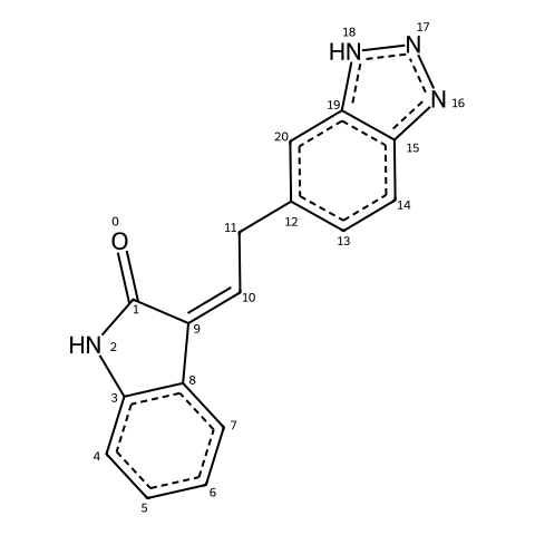 O=C1Nc2ccccc2/C1=C/Cc1ccc2nn[nH]c2c1